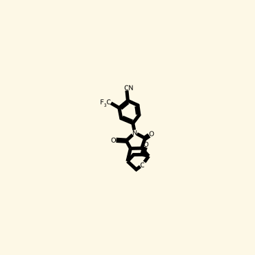 N#Cc1ccc(N2C(=O)C3C4CCC(C(=O)C4)C3C2=O)cc1C(F)(F)F